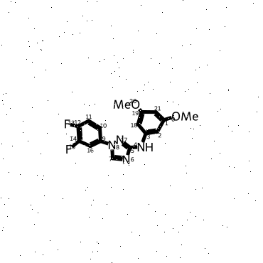 COc1cc(Nc2ncn(-c3ccc(F)c(F)c3)n2)cc(OC)c1